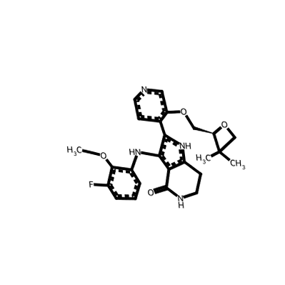 COc1c(F)cccc1Nc1c(-c2ccncc2OC[C@H]2OCC2(C)C)[nH]c2c1C(=O)NCC2